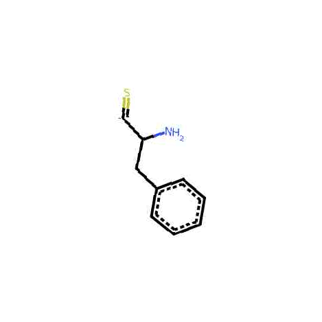 NC([C]=S)Cc1ccccc1